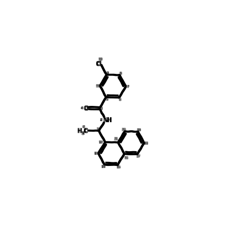 CC(NC(=O)c1cccc(Cl)c1)c1cccc2ccccc12